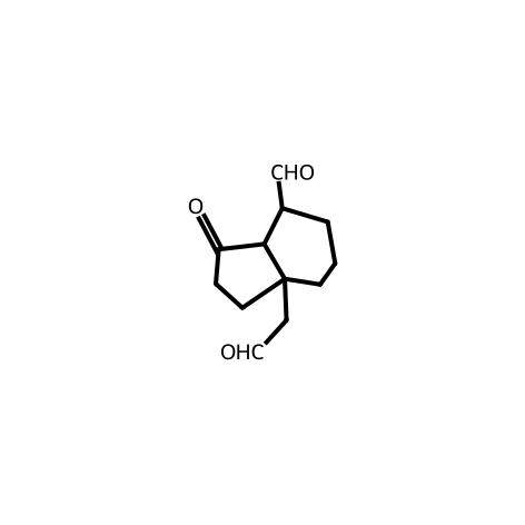 O=CCC12CCCC(C=O)C1C(=O)CC2